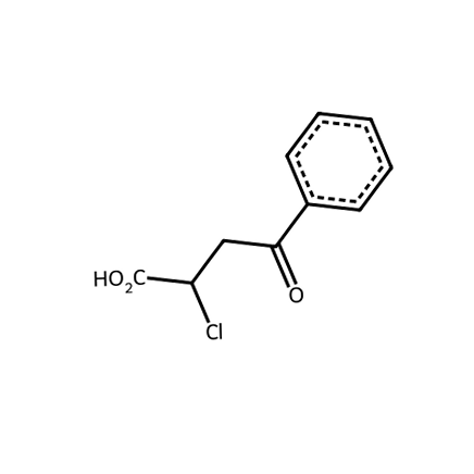 O=C(CC(Cl)C(=O)O)c1ccccc1